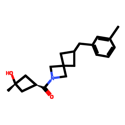 Cc1cccc(CC2CC3(C2)CN(C(=O)[C@H]2C[C@@](C)(O)C2)C3)c1